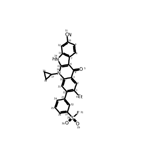 CCc1cc2c(=O)c3c4ccc(C#N)cc4[nH]c3n(C3CC3)c2cc1-c1cccc(S(=O)(=O)F)c1